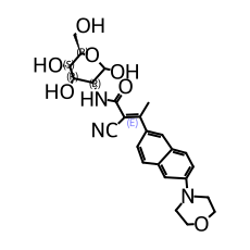 C/C(=C(/C#N)C(=O)N[C@H]1C(O)O[C@H](CO)[C@@H](O)[C@@H]1O)c1ccc2cc(N3CCOCC3)ccc2c1